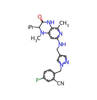 Cc1nc(NCc2cnn(Cc3ccc(F)cc3C#N)c2)cc2c1NC(=O)C(C(C)C)N2C